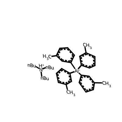 CCCC[NH+](CCCC)CCCC.Cc1ccc[c]([Al-]([c]2cccc(C)c2)([c]2cccc(C)c2)[c]2cccc(C)c2)c1